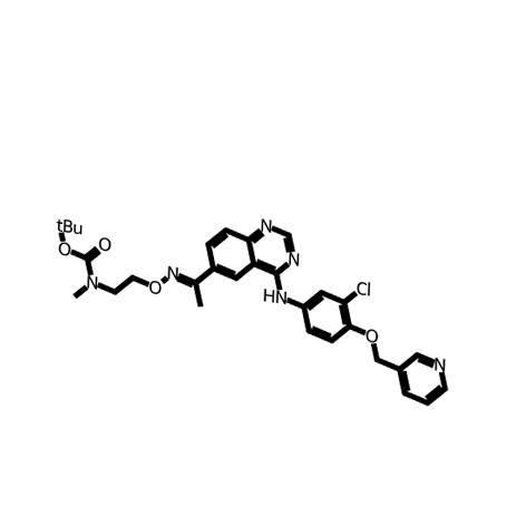 C/C(=N\OCCN(C)C(=O)OC(C)(C)C)c1ccc2ncnc(Nc3ccc(OCc4cccnc4)c(Cl)c3)c2c1